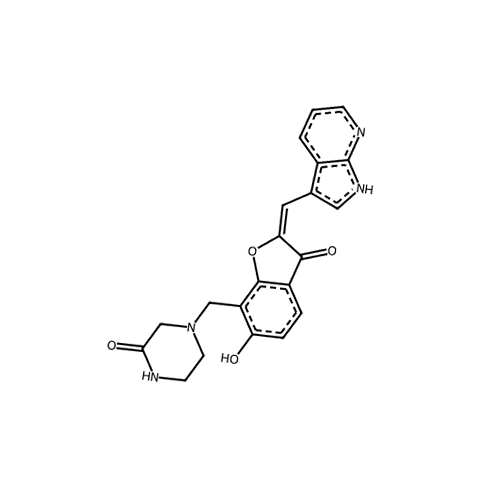 O=C1CN(Cc2c(O)ccc3c2OC(=Cc2c[nH]c4ncccc24)C3=O)CCN1